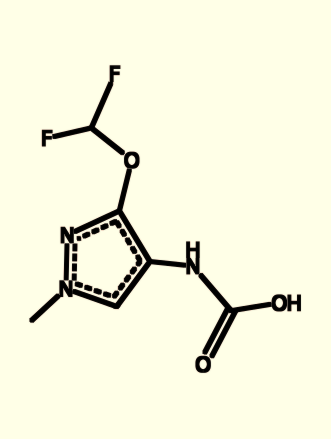 Cn1cc(NC(=O)O)c(OC(F)F)n1